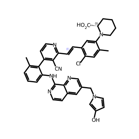 Cc1cc(Cl)c(/C=C/c2nccc(-c3c(C)cccc3Nc3nccc4cc(Cn5ccc(O)c5)cnc34)c2C#N)cc1N1CCCC[C@H]1C(=O)O